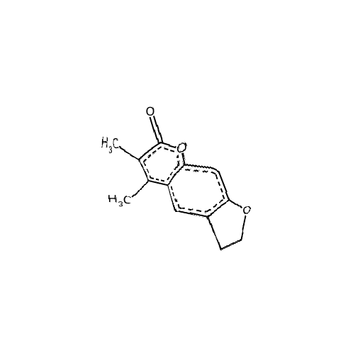 Cc1c(C)c2cc3c(cc2oc1=O)OCC3